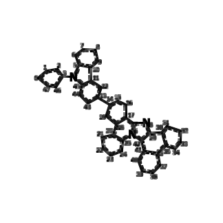 c1ccc(-n2c3ccccc3c3cc(-c4ccc5c(c4)c4ccccc4n4c5nc5c6ccccc6c6ccccc6c54)ccc32)cc1